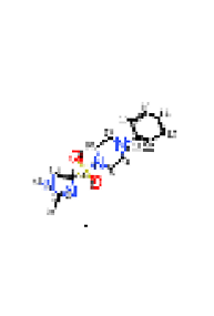 Cc1nc(S(=O)(=O)N2CCN(c3ccccc3)CC2)cn1C